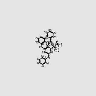 CCC(CC)(PC)c1cc(Cc2ccccc2)cc(Cc2ccccc2)c1OCc1ccccc1